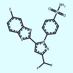 NS(=O)(=O)c1ccc(-n2nc(C(F)F)cc2-c2nc3cc(F)ccc3s2)cc1